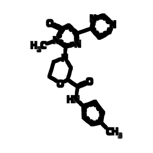 Cc1ccc(NC(=O)C2CN(c3nc(-c4ccncn4)cc(=O)n3C)CCO2)cc1